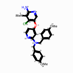 CNc1c(N)ncc(Oc2ccnc(N(Cc3ccc(OC)cc3)Cc3ccc(OC)cc3)c2)c1Cl